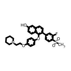 CS(=O)(=O)c1ccc(-c2ccc3cc(O)ccc3c2Oc2ccc(OCCN3CCCCC3)cc2)cc1F